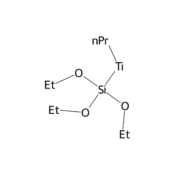 CC[CH2][Ti][Si](OCC)(OCC)OCC